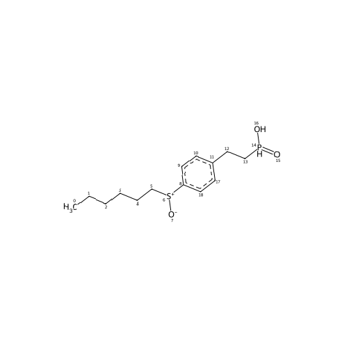 CCCCCC[S+]([O-])c1ccc(CC[PH](=O)O)cc1